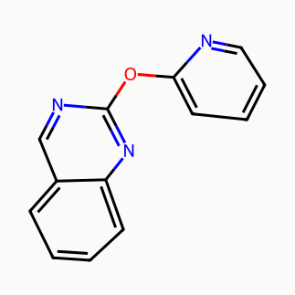 c1ccc(Oc2ncc3ccccc3n2)nc1